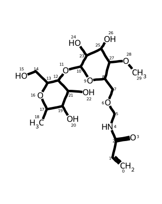 C=CC(=O)NCOCC1OC(OC2C(CO)OC(C)C(O)C2O)C(O)C(O)C1OC